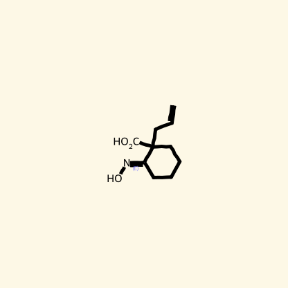 C=CCC1(C(=O)O)CCCC/C1=N\O